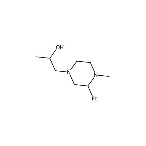 CCC1CN(CC(C)O)CCN1C